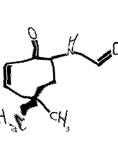 CC1(C)C=CC(=O)C(NC=O)C1